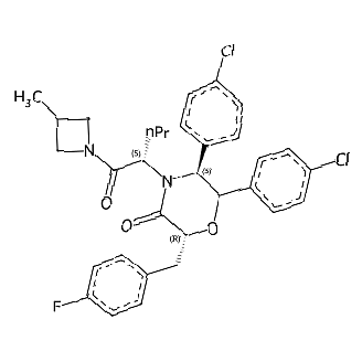 CCC[C@@H](C(=O)N1CC(C)C1)N1C(=O)[C@@H](Cc2ccc(F)cc2)OC(c2ccc(Cl)cc2)[C@@H]1c1ccc(Cl)cc1